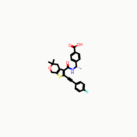 C[C@H](NC(=O)c1c(C#Cc2ccc(F)cc2)sc2c1CC(C)(C)OC2)c1ccc(C(=O)O)cc1